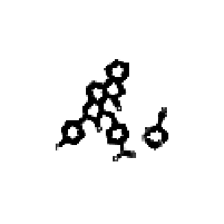 N#Cc1cncnn1.O=C1C=c2ccccc2=c2ccc3c(c21)C(Cc1ccc([N+](=O)[O-])cc1)C(=O)C(c1ccc(F)cc1)C=3